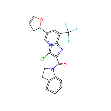 O=C(c1nc2c(C(F)(F)F)cc(C3CC=CO3)cn2c1Cl)N1CCc2ccccc21